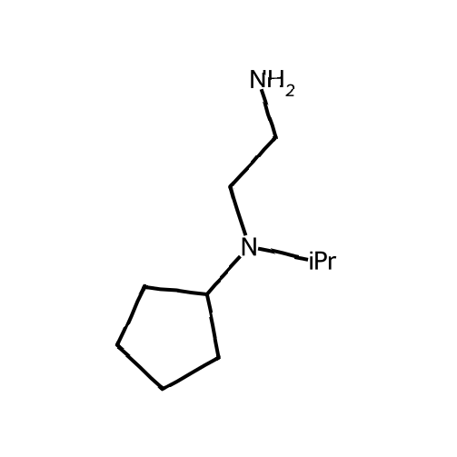 CC(C)N(CCN)C1CCCC1